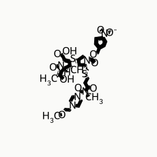 COCCN1CCN(C(=O)N(C)C(=O)CCSC[C@@H]2C[C@H](SC3=C(C(=O)O)N4C(=O)[C@H]([C@@H](C)O)[C@H]4[C@H]3C)CN2C(=O)OCc2ccc([N+](=O)[O-])cc2)CC1